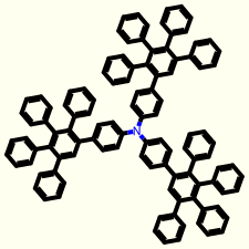 c1ccc(-c2cc(-c3ccc(N(c4ccc(-c5cc(-c6ccccc6)c(-c6ccccc6)c(-c6ccccc6)c5-c5ccccc5)cc4)c4ccc(-c5cc(-c6ccccc6)c(-c6ccccc6)c(-c6ccccc6)c5-c5ccccc5)cc4)cc3)c(-c3ccccc3)c(-c3ccccc3)c2-c2ccccc2)cc1